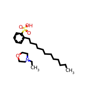 CCCCCCCCCCCCc1ccccc1S(=O)(=O)O.CCN1CCOCC1